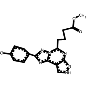 COC(=O)CCCc1nc2n[nH]cc2c2nc(-c3ccc(Cl)cc3)nn12